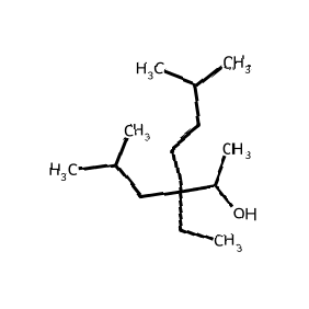 CCC(CCC(C)C)(CC(C)C)C(C)O